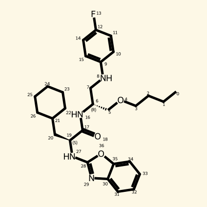 CCCCOC[C@@H](CNc1ccc(F)cc1)NC(=O)[C@H](CC1CCCCC1)Nc1nc2ccccc2o1